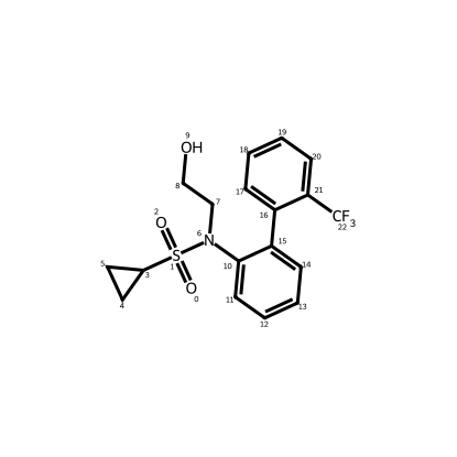 O=S(=O)(C1CC1)N(CCO)c1ccccc1-c1ccccc1C(F)(F)F